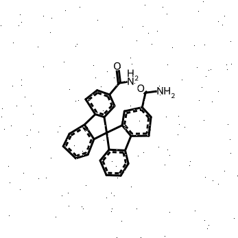 NC(=O)c1ccc2c(c1)C1(c3ccccc3-2)c2ccccc2-c2ccc(C(N)=O)cc21